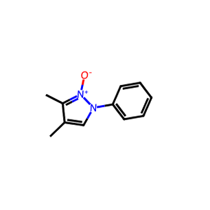 Cc1cn(-c2ccccc2)[n+]([O-])c1C